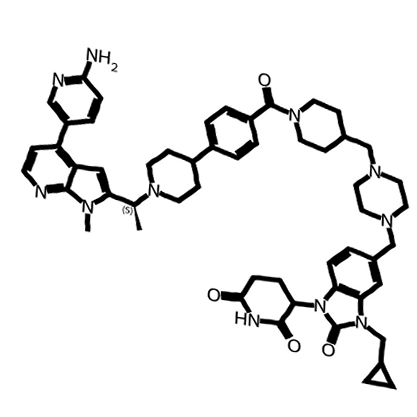 C[C@@H](c1cc2c(-c3ccc(N)nc3)ccnc2n1C)N1CCC(c2ccc(C(=O)N3CCC(CN4CCN(Cc5ccc6c(c5)n(CC5CC5)c(=O)n6C5CCC(=O)NC5=O)CC4)CC3)cc2)CC1